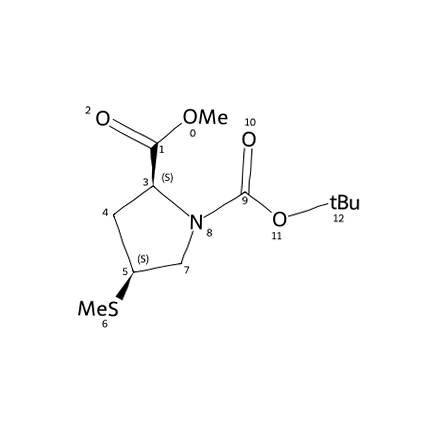 COC(=O)[C@@H]1C[C@H](SC)CN1C(=O)OC(C)(C)C